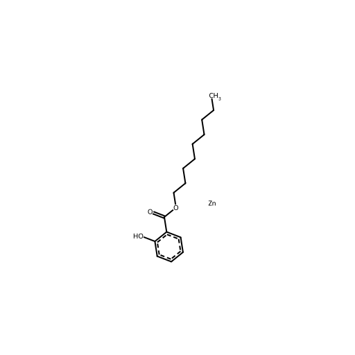 CCCCCCCCCOC(=O)c1ccccc1O.[Zn]